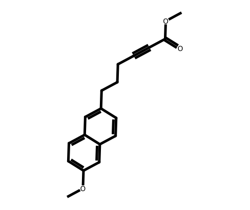 COC(=O)C#CCCCc1ccc2cc(OC)ccc2c1